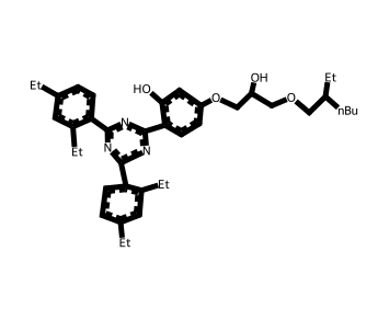 CCCCC(CC)COCC(O)COc1ccc(-c2nc(-c3ccc(CC)cc3CC)nc(-c3ccc(CC)cc3CC)n2)c(O)c1